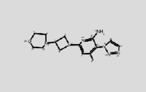 Cc1cc(N2CC(N3CCOCC3)C2)nc(N)c1-n1ccnn1